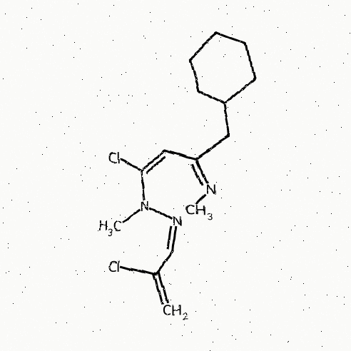 C=C(Cl)/C=N\N(C)/C(Cl)=C\C(CC1CCCCC1)=N/C